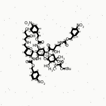 CN(C(=O)OC(C)(C)C)[C@@H]1[C@@H](O)[C@@H](O[C@H]2[C@H](NC(=O)[C@@H](O)CCNC(=O)OCc3ccc([N+](=O)[O-])cc3)C[C@H](NC(=O)OCc3ccc([N+](=O)[O-])cc3)C([C@H]3OC(CNCC(O)CO)=CC[C@H]3NC(=O)OCc3ccc([N+](=O)[O-])cc3)[C@@H]2O)OC[C@]1(C)O